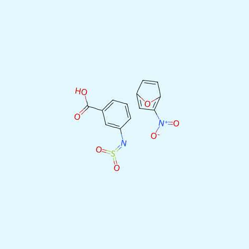 O=C(O)c1cccc(N=S(=O)=O)c1.O=[N+]([O-])c1cc2ccc1o2